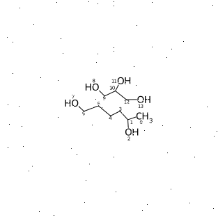 CC(O)CCCCO.OCC(O)CO